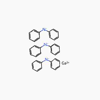 [Ga+3].c1ccc([N-]c2ccccc2)cc1.c1ccc([N-]c2ccccc2)cc1.c1ccc([N-]c2ccccc2)cc1